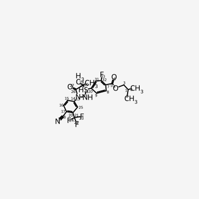 CC(C)COC(=O)c1ccc([SH]2NN(c3ccc(C#N)c(C(F)(F)F)c3)C(=O)C2(C)C)cc1F